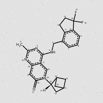 Cc1nc(NCc2cccc3c2CCC3(F)F)c2cn([C@H]3CC4CC3C4)c(=O)cc2n1